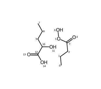 CCCC(=O)OO.CCCC(O)C(=O)O